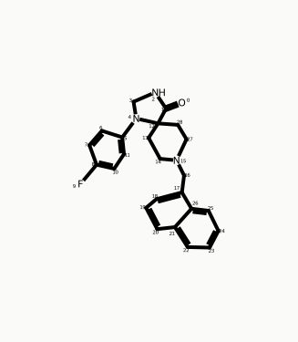 O=C1NCN(c2ccc(F)cc2)C12CCN(Cc1cccc3ccccc13)CC2